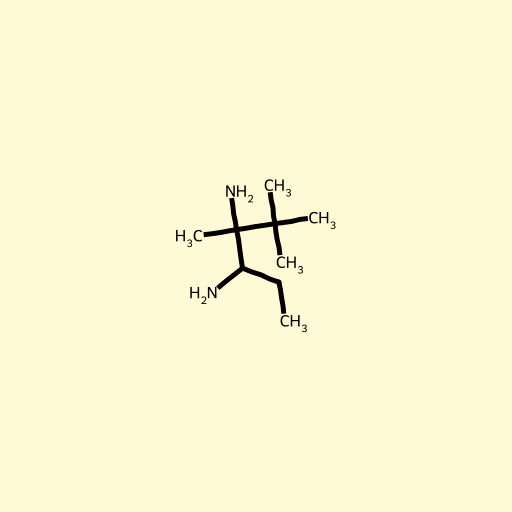 CCC(N)C(C)(N)C(C)(C)C